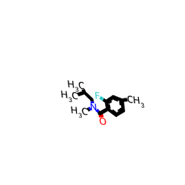 Cc1ccc(C(=O)N(C)CC(C)C)c(F)c1